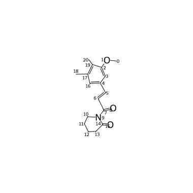 COc1cc(/C=C/C(=O)N2CCCCC2=O)cc(C)c1C